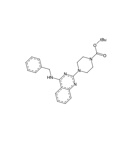 CC(C)(C)OC(=O)N1CCN(c2nc(NCc3ccccc3)c3ccccc3n2)CC1